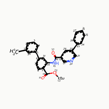 Cc1cccc(-c2ccc(C(=O)OC(C)(C)C)c(NC(=O)c3cncc(-c4ccccc4)c3)c2)c1